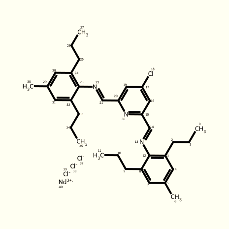 CCCc1cc(C)cc(CCC)c1N=Cc1cc(Cl)cc(C=Nc2c(CCC)cc(C)cc2CCC)n1.[Cl-].[Cl-].[Cl-].[Nd+3]